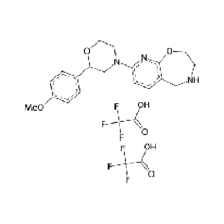 COc1ccc(C2CN(c3ccc4c(n3)OCCNC4)CCO2)cc1.O=C(O)C(F)(F)F.O=C(O)C(F)(F)F